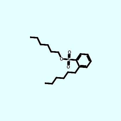 CCCCCCOS(=O)(=O)c1ccccc1CCCCCC